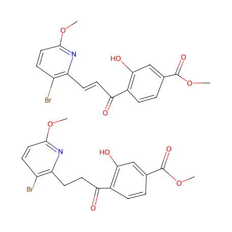 COC(=O)c1ccc(C(=O)C=Cc2nc(OC)ccc2Br)c(O)c1.COC(=O)c1ccc(C(=O)CCc2nc(OC)ccc2Br)c(O)c1